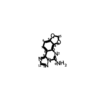 Nc1nc2c3c(ccc2c2ncnn12)OCO3